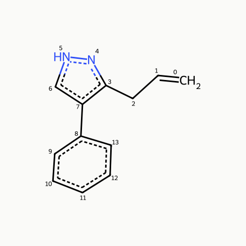 C=CCc1n[nH]cc1-c1ccccc1